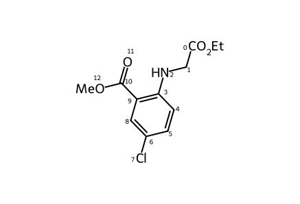 CCOC(=O)CNc1ccc(Cl)cc1C(=O)OC